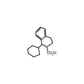 CCOC(=O)N1CCc2ccccc2C1C1CCCCC1